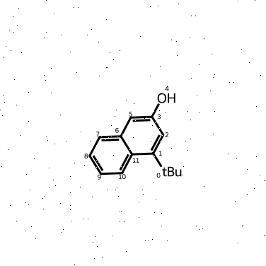 CC(C)(C)c1cc(O)cc2ccccc12